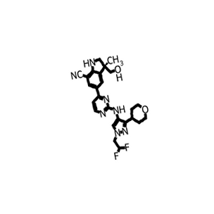 C[C@]1(CO)CNc2c(C#N)cc(-c3ccnc(Nc4cn(CC(F)F)nc4C4CCOCC4)n3)cc21